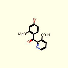 COc1cc(Br)ccc1C(=O)c1ncccc1C(=O)O